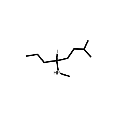 CCCC(I)(CCC(C)C)PC